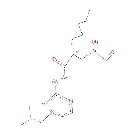 CCCCC[C@H](CN(O)C=O)C(=O)NNc1nccc(CN(C)C)n1